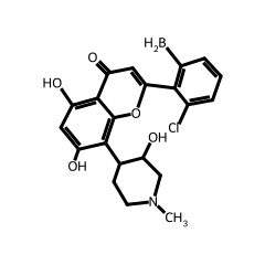 Bc1cccc(Cl)c1-c1cc(=O)c2c(O)cc(O)c(C3CCN(C)CC3O)c2o1